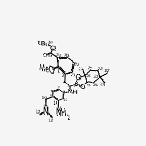 COc1c(C[C@H](Nc2ccc(CN(C)C)c(N)c2)B2OC3CC(C)(C)CCC3(C)O2)cccc1C(=O)OC(C)(C)C